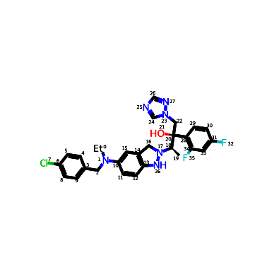 CCN(Cc1ccc(Cl)cc1)c1ccc2c(c1)CN([C@H](C)[C@](O)(Cn1cncn1)c1ccc(F)cc1F)N2